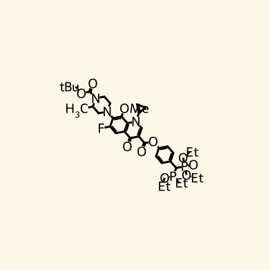 CCOP(CC)C(c1ccc(OC(=O)c2cn(C3CC3)c3c(OC)c(N4CCN(C(=O)OC(C)(C)C)C(C)C4)c(F)cc3c2=O)cc1)P(=O)(OCC)OCC